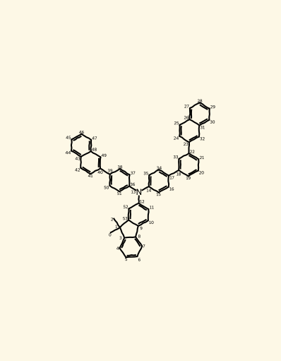 CC1(C)c2ccccc2-c2ccc(N(c3ccc(-c4cccc(-c5ccc6ccccc6c5)c4)cc3)c3ccc(-c4ccc5ccccc5c4)cc3)cc21